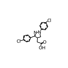 O=C(O)CC1CN(c2ccc(Cl)cc2)N=C1c1ccc(Cl)cc1